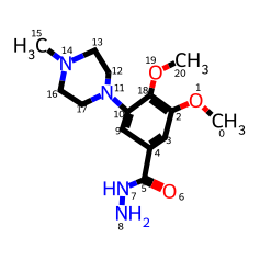 COc1cc(C(=O)NN)cc(N2CCN(C)CC2)c1OC